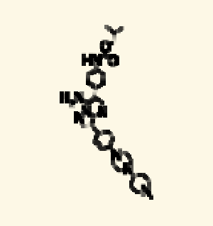 CC(C)COC(=O)Nc1ccc(-c2cnc3c(-c4ccc(N5CCN(C6CCN(C)CC6)CC5)cc4)cnn3c2N)cc1